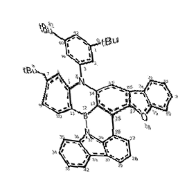 CC(C)(C)c1cc(N2c3cc(C(C)(C)C)ccc3B3c4c2cc2c(oc5ccccc52)c4-c2cccc4c5ccccc5n3c24)cc(C(C)(C)C)c1